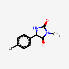 CCc1ccc(C2NC(=O)N(C)C2=O)cc1